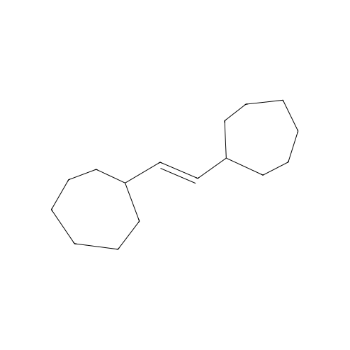 C(=CC1CCCCCC1)C1CCCCCC1